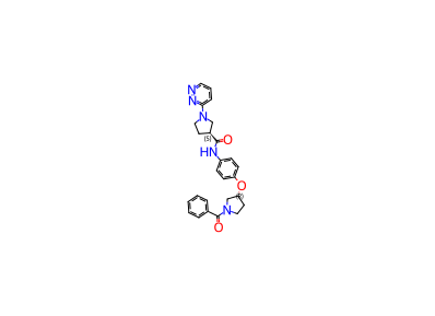 O=C(Nc1ccc(O[C@@H]2CCN(C(=O)c3ccccc3)C2)cc1)[C@H]1CCN(c2cccnn2)C1